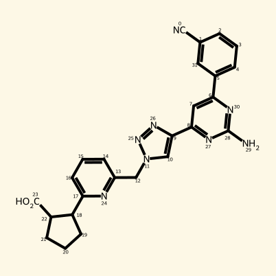 N#Cc1cccc(-c2cc(-c3cn(Cc4cccc(C5CCCC5C(=O)O)n4)nn3)nc(N)n2)c1